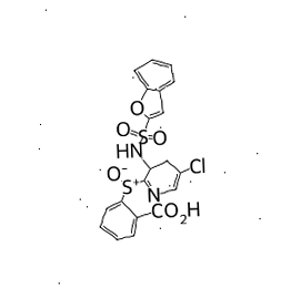 O=C(O)c1ccccc1[S+]([O-])C1=NC=C(Cl)CC1NS(=O)(=O)c1cc2ccccc2o1